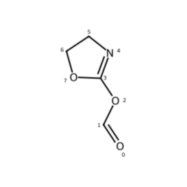 O=COC1=NCCO1